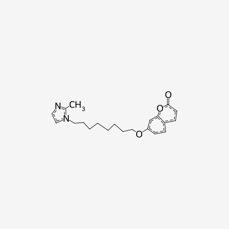 Cc1nccn1CCCCCCCCOc1ccc2ccc(=O)oc2c1